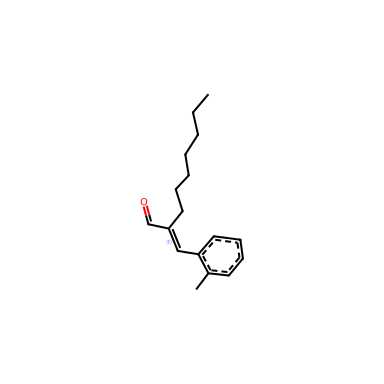 CCCCCCC/C(C=O)=C\c1ccccc1C